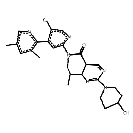 Cc1cnc(-c2cc(N3CC(C)C4N=C(N5CCC(O)CC5)N=CC4C3=O)ncc2Cl)c(C)c1